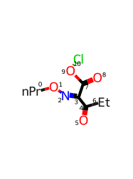 CCCON=C(C(=O)CC)C(=O)OCl